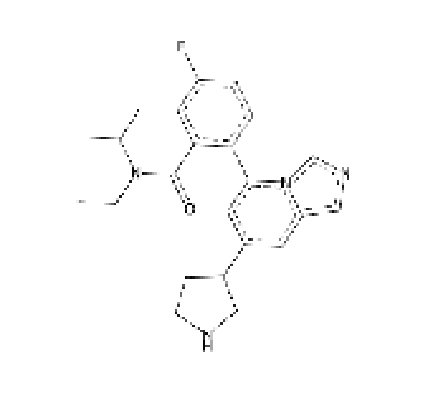 CCN(C(=O)c1cc(F)ccc1-c1cc(C2CCNC2)cc2cncn12)C(C)C